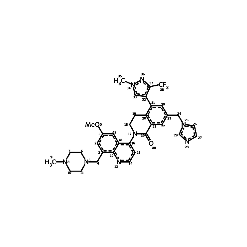 COc1cc(CN2CCN(C)CC2)c2nccc(N3CCc4c(cc(Cn5ccnc5)cc4-c4cn(C)nc4C(F)(F)F)C3=O)c2c1